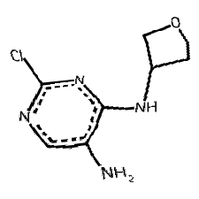 Nc1cnc(Cl)nc1NC1COC1